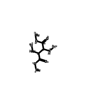 [2H]NC(C(=O)OC(C)(C)C)C(N[2H])C(=O)OC(C)(C)C